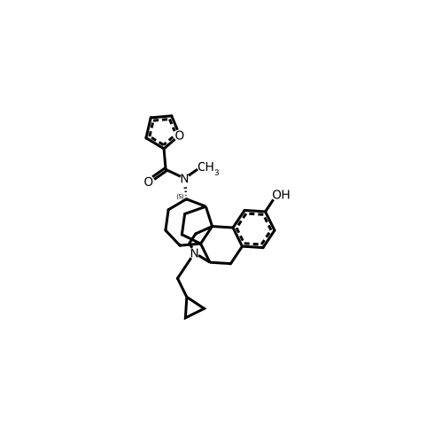 CN(C(=O)c1ccco1)[C@H]1CCCC23CCC1C21CCN(CC2CC2)C3Cc2ccc(O)cc21